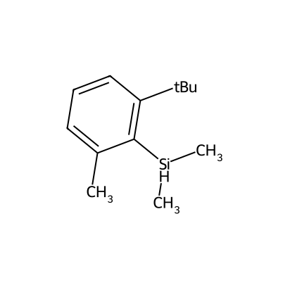 Cc1cccc(C(C)(C)C)c1[SiH](C)C